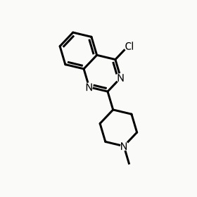 CN1CCC(c2nc(Cl)c3ccccc3n2)CC1